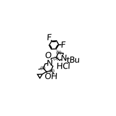 C[C@@H]1CN(C(=O)[C@@H]2CN(C(C)(C)C)C[C@H]2c2ccc(F)cc2F)C[C@H](C)C1(O)C1CC1.Cl